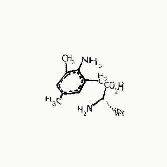 CC(C)[C@H](N)C(=O)O.Cc1cc(C)c(N)c(C)c1